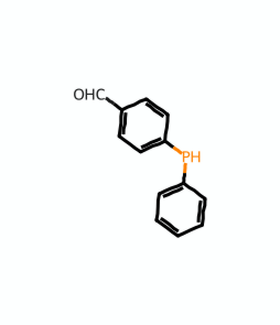 O=Cc1ccc(Pc2ccccc2)cc1